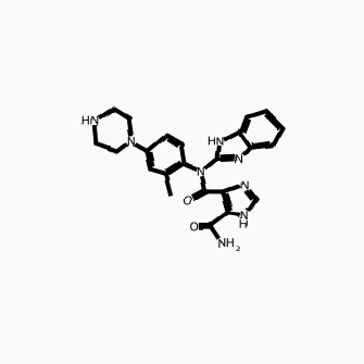 Cc1cc(N2CCNCC2)ccc1N(C(=O)c1nc[nH]c1C(N)=O)c1nc2ccccc2[nH]1